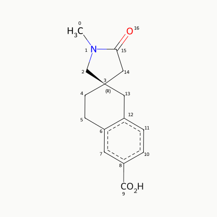 CN1C[C@@]2(CCc3cc(C(=O)O)ccc3C2)CC1=O